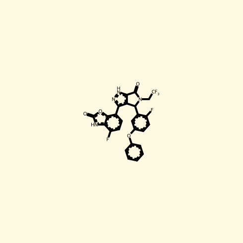 O=C1c2[nH]nc(-c3ccc(F)c4[nH]c(=O)oc34)c2C(c2cc(Oc3ccccc3)ccc2F)N1CC(F)(F)F